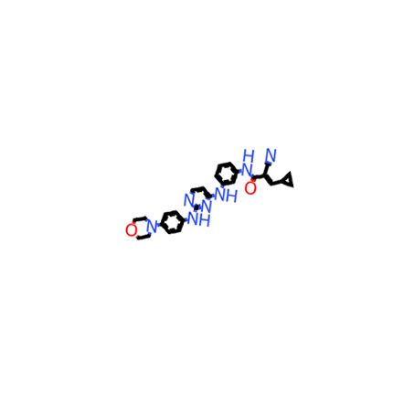 N#C/C(=C\C1CC1)C(=O)Nc1cccc(Nc2ccnc(Nc3ccc(N4CCOCC4)cc3)n2)c1